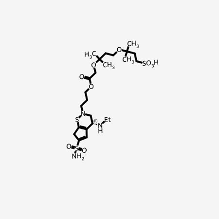 CCN[C@H]1CN(CCCOC(=O)COC(C)(C)CCOC(C)(C)CCS(=O)(=O)O)SC2=C1C=C(S(N)(=O)=O)C2